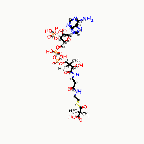 CC(C)(C(=O)O)C(=O)SCCNC(=O)CCNC(=O)C(O)C(C)(C)COP(=O)(O)OP(=O)(O)OC[C@H]1O[C@@H](n2cnc3c(N)ncnc32)[C@H](O)[C@@H]1OP(=O)(O)O